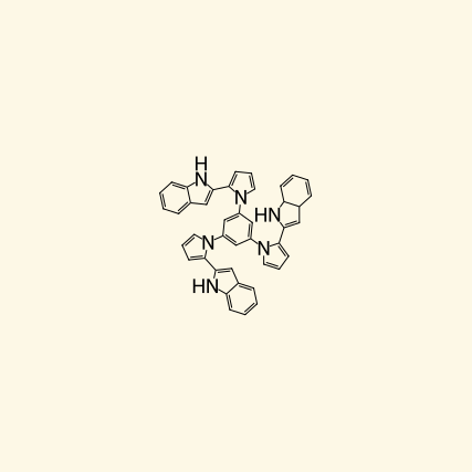 C1=CC2C=C(c3cccn3-c3cc(-n4cccc4-c4cc5ccccc5[nH]4)cc(-n4cccc4-c4cc5ccccc5[nH]4)c3)NC2C=C1